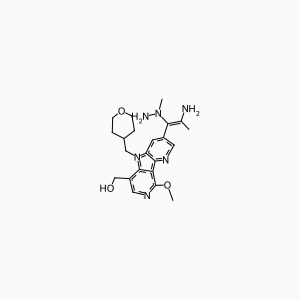 COc1ncc(CO)c2c1c1ncc(/C(=C(\C)N)N(C)N)cc1n2CC1CCOCC1